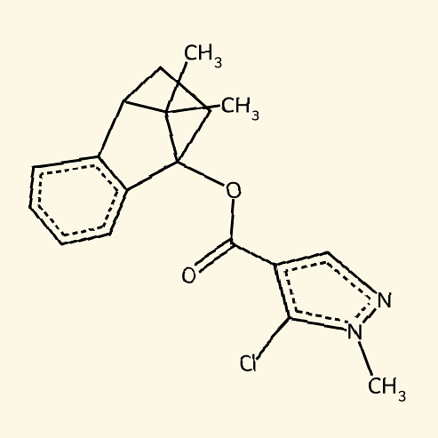 Cn1ncc(C(=O)OC23CCC(c4ccccc42)C3(C)C)c1Cl